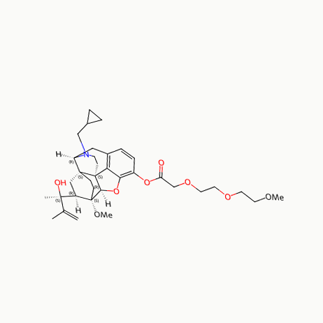 C=C(C)[C@@](C)(O)[C@H]1C[C@@]23CC[C@@]1(OC)[C@@H]1Oc4c(OC(=O)COCCOCCOC)ccc5c4[C@@]12CCN(CC1CC1)[C@@H]3C5